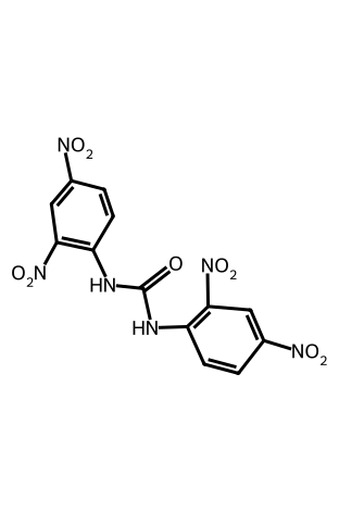 O=C(Nc1ccc([N+](=O)[O-])cc1[N+](=O)[O-])Nc1ccc([N+](=O)[O-])cc1[N+](=O)[O-]